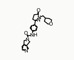 O=C(Nc1ccc(C2=NN(CC3CCOCC3)C(=O)CC2)cc1)N1Cc2ccncc2C1